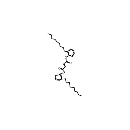 CCCCCCCCCc1ccccc1OC(=O)C=CC(=O)Oc1ccccc1CCCCCCCCC